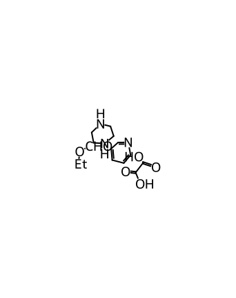 C1CNCCN1.CCOC=O.O=C(O)C(=O)O.c1ccncc1